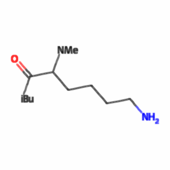 CCC(C)C(=O)C(CCCCN)NC